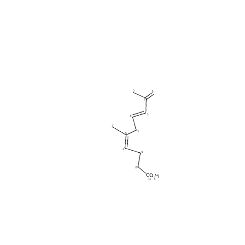 C=C(C)C=CCC(C)=CCCC(=O)O